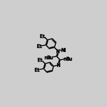 CCCCC(=Nc1ccc(CC)c(CC)c1)C(CCCC)=[N+]([Ni])c1ccc(CC)c(CC)c1